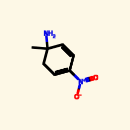 CC1(N)C=CC([N+](=O)[O-])=CC1